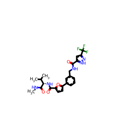 CNC(=O)[C@@H](NC(=O)c1ccc(-c2cccc(CNC(=O)c3cc(C(F)(F)F)n[nH]3)c2)o1)C(C)C